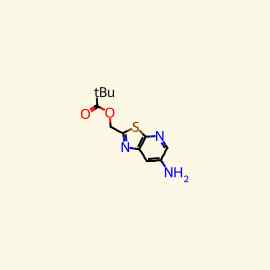 CC(C)(C)C(=O)OCc1nc2cc(N)cnc2s1